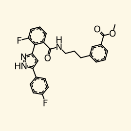 COC(=O)c1cccc(CCCNC(=O)c2cccc(F)c2-c2cc(-c3ccc(F)cc3)[nH]n2)c1